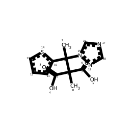 CC(C(=O)O)(C(=O)O)C(C)(c1cccs1)n1cncn1